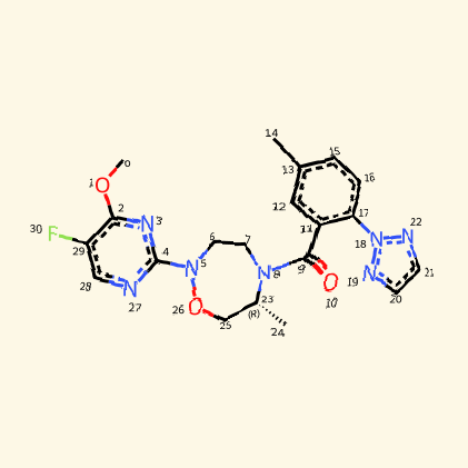 COc1nc(N2CCN(C(=O)c3cc(C)ccc3-n3nccn3)[C@H](C)CO2)ncc1F